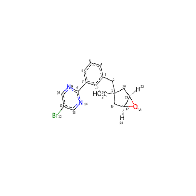 O=C(O)C1(Cc2cccc(-c3ncc(Br)cn3)c2)C[C@@H]2O[C@@H]2C1